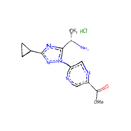 COC(=O)c1cnc(-n2nc(C3CC3)nc2[C@H](C)N)cn1.Cl